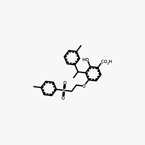 Cc1ccc(S(=O)(=O)CCOc2ccc(C(=O)O)c(O)c2C(C)c2cccc(C)c2)cc1